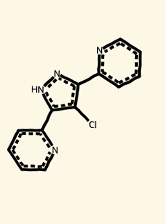 Clc1c(-c2ccccn2)n[nH]c1-c1ccccn1